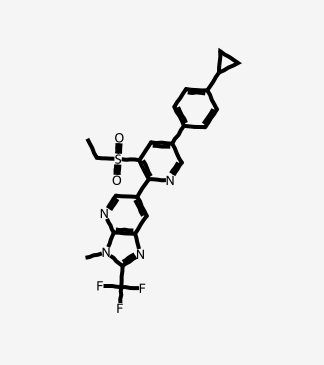 CCS(=O)(=O)c1cc(-c2ccc(C3CC3)cc2)cnc1-c1cnc2c(c1)nc(C(F)(F)F)n2C